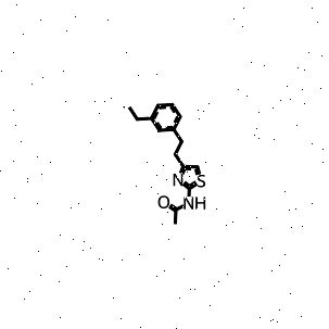 [CH2]Cc1cccc(CCc2csc(NC(C)=O)n2)c1